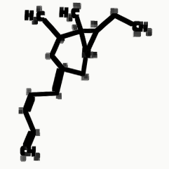 C=C/C=C\C=C1/CC(C)C2(C)C(CC)N2C1